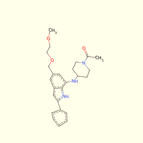 COCCOCc1cc(NC2CCN(C(C)=O)CC2)c2[nH]c(-c3ccccc3)cc2c1